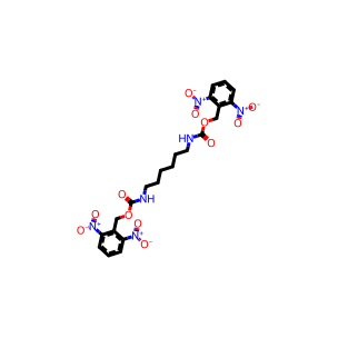 O=C(NCCCCCCNC(=O)OCc1c([N+](=O)[O-])cccc1[N+](=O)[O-])OCc1c([N+](=O)[O-])cccc1[N+](=O)[O-]